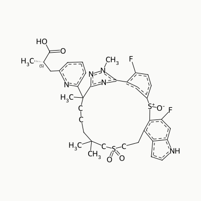 C[C@@H](Cc1cccc(C2(C)CCCC(C)(C)CS(=O)(=O)CCc3c(c(F)cc4[nH]ccc34)[S+]([O-])c3ccc(F)c(c3)-c3nc2nn3C)n1)C(=O)O